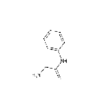 C=C(CN)Nc1ccccc1